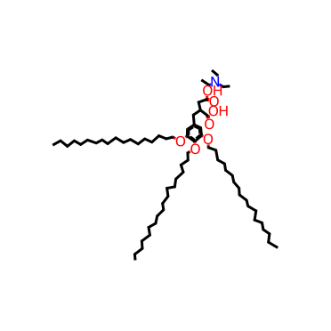 CCCCCCCCCCCCCCCCCCOc1cc(CC(CC(=O)O)C(=O)O)cc(OCCCCCCCCCCCCCCCCCC)c1OCCCCCCCCCCCCCCCCCC.CCN(CC)CC